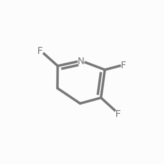 FC1=NC(F)=C(F)CC1